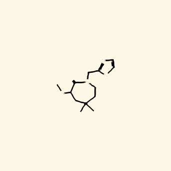 CNC1CC(C)(C)CCN(Cc2ncc[nH]2)C1=O